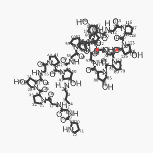 NCCCC[C@H](NC(=O)[C@@H]1CCCN1)C(=O)NCC(=O)N1CCC[C@H]1C(=O)N1C[C@H](O)C[C@H]1C(=O)NCC(=O)N1CCC[C@H]1C(=O)N1C[C@H](O)C[C@H]1C(=O)NCC(=O)N1CCC[C@H]1C(=O)N1C[C@H](O)C[C@H]1C(=O)NCC(=O)N1CCC[C@H]1C(=O)N1C[C@H](O)C[C@H]1C(=O)NCC(=O)N1CCC[C@H]1C(=O)N1C[C@H](O)C[C@H]1C(=O)NCC(=O)N1CCC[C@H]1C(=O)N1C[C@H](O)C[C@H]1C(=O)O